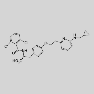 O=C(N[C@@H](Cc1ccc(OCCc2cccc(NCC3CC3)n2)cc1)C(=O)O)c1c(Cl)cccc1Cl